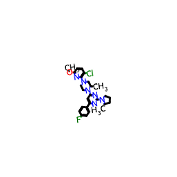 COc1ccc(Cl)c(N2CCN(c3cc(-c4ccc(F)cc4)nc(N4CCCC4C)n3)C(C)C2)n1